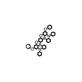 C1=CC(Oc2cc3c4c(c2)N(c2ccccc2)c2ccccc2B4c2cc4c(cc2O3)Oc2cc(Oc3ccccc3)cc3c2B4c2ccccc2N3c2ccccc2)=CCC1